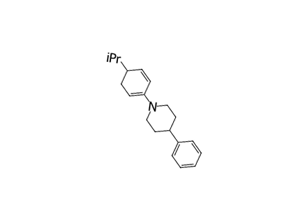 CC(C)C1C=CC(N2CCC(c3ccccc3)CC2)=CC1